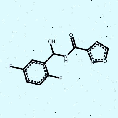 O=C(NC(O)c1cc(F)ccc1F)c1ccon1